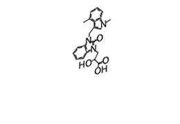 Cc1cccc2c1c(Cn1c(=O)n(CC(O)C(=O)O)c3ccccc31)cn2C